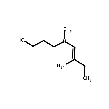 CC/C(C)=C/N(C)CCCO